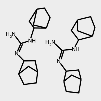 NC(=NC1CC2CCC1C2)NC1CC2CCC1C2.NC(=NC1CC2CCC1C2)NC1CC2CCC1C2